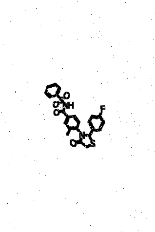 Cc1cc(C(=O)NS(=O)(=O)c2ccccc2)ccc1N1C(=O)CSC1c1ccc(F)cc1